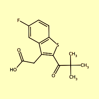 CC(C)(C)C(=O)c1sc2ccc(F)cc2c1CC(=O)O